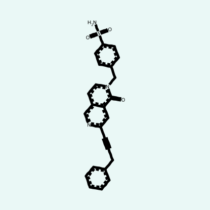 NS(=O)(=O)c1ccc(Cn2ccc3cnc(C#CCc4ccccc4)cc3c2=O)cc1